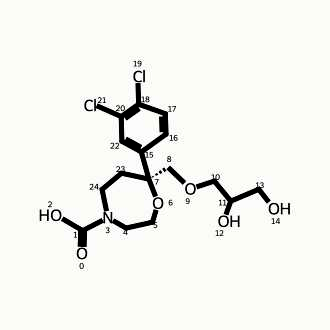 O=C(O)N1CCO[C@](COCC(O)CO)(c2ccc(Cl)c(Cl)c2)CC1